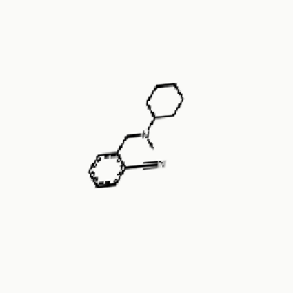 CN(Cc1ccccc1C#N)C1CCCCC1